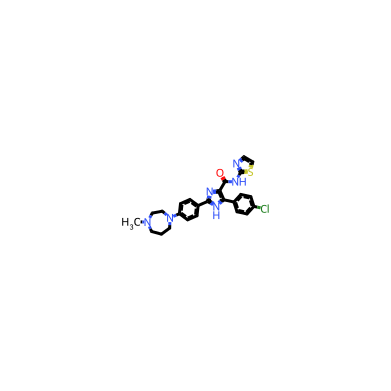 CN1CCCN(c2ccc(-c3nc(C(=O)Nc4nccs4)c(-c4ccc(Cl)cc4)[nH]3)cc2)CC1